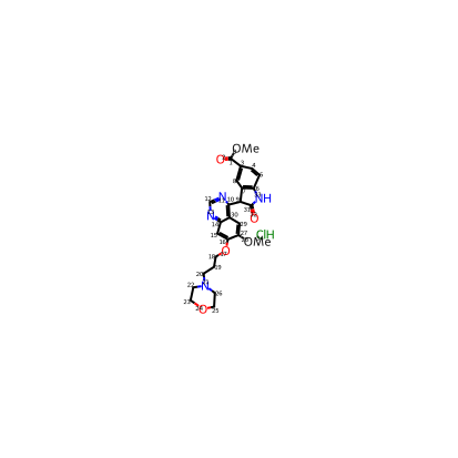 COC(=O)c1ccc2c(c1)C(c1ncnc3cc(OCCCN4CCOCC4)c(OC)cc13)C(=O)N2.Cl